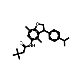 Cc1cc(NC(=O)CC(C)(C)C)c(C)c2c1OCC2c1ccc(C(C)C)cc1